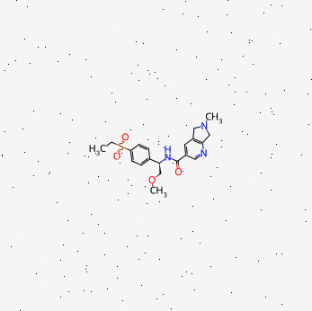 CCS(=O)(=O)c1ccc([C@H](COC)NC(=O)c2cnc3c(c2)CN(C)C3)cc1